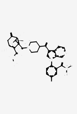 C=C1C[C@@H]2CC[C@H]1[C@H](C(=O)N1CCC(C(=O)c3cn(-c4ccc(F)cc4C(=O)N(C(C)C)C(C)C)c4cnccc34)CC1)N2C(=O)OC(C)(C)C